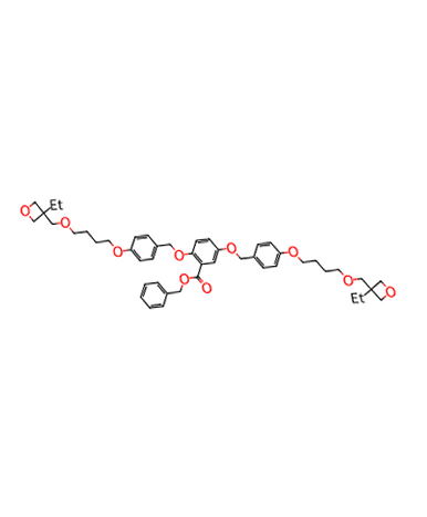 CCC1(COCCCCOc2ccc(COc3ccc(OCc4ccc(OCCCCOCC5(CC)COC5)cc4)c(C(=O)OCc4ccccc4)c3)cc2)COC1